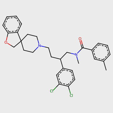 Cc1cccc(C(=O)N(C)CC(CCN2CCC3(CC2)COc2ccccc23)c2ccc(Cl)c(Cl)c2)c1